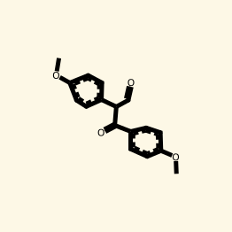 COc1ccc(C(=O)C(C=O)c2ccc(OC)cc2)cc1